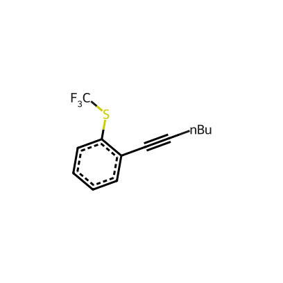 CCCCC#Cc1ccccc1SC(F)(F)F